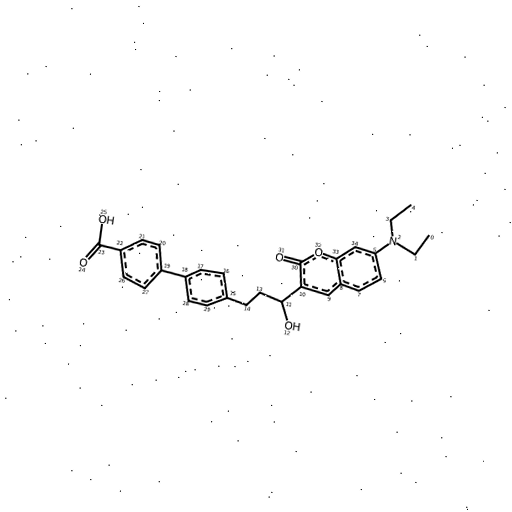 CCN(CC)c1ccc2cc(C(O)CCc3ccc(-c4ccc(C(=O)O)cc4)cc3)c(=O)oc2c1